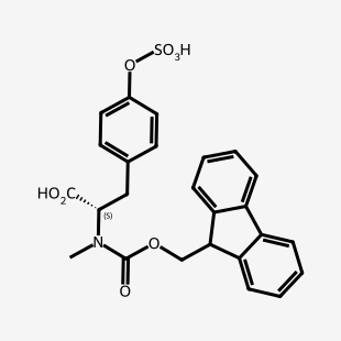 CN(C(=O)OCC1c2ccccc2-c2ccccc21)[C@@H](Cc1ccc(OS(=O)(=O)O)cc1)C(=O)O